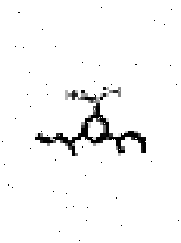 C=C/C=C(\C)c1cc(B(O)O)cc(C(=C)/C=C\C)c1